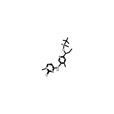 CCC(O[Si](C)(C)C(C)(C)C)c1cc(C)c(Nc2ccn(C)c(=O)n2)cn1